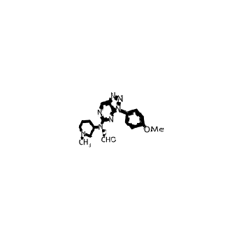 COc1ccc(-n2nnc3cnc(N(OC=O)C4CCCN(C)C4)nc32)cc1